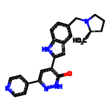 O=C(O)[C@@H]1CCCN1Cc1ccc2[nH]c(-c3cc(-c4ccncc4)n[nH]c3=O)cc2c1